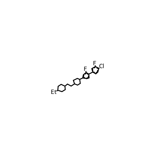 CCC1CCC(CCC2CCC(c3ccc(-c4ccc(Cl)c(F)c4)c(F)c3)CC2)CC1